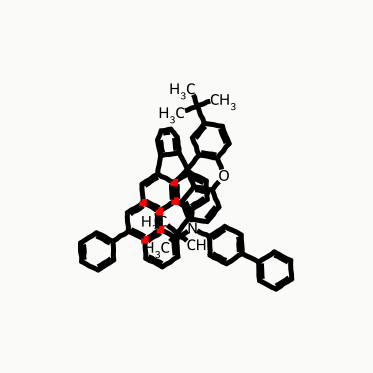 CC(C)(C)c1ccc2c(c1)C1(c3cc(C(C)(C)C)ccc3O2)c2ccccc2-c2ccc(-c3ccccc3N(c3ccc(-c4ccccc4)cc3)c3ccccc3-c3ccc(-c4ccccc4)cc3)cc21